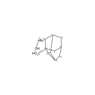 CCCCO.O=C(O)C12CC3CC(CC(C3)C1)C2